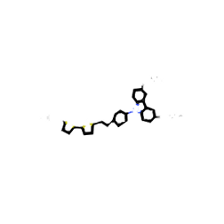 COc1ccc2c(c1)c1cc(OC)ccc1n2-c1ccc(C=Cc2ccc(-c3ccc(C=O)s3)s2)cc1